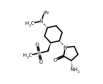 CC(C)N(C)[C@@H]1CC[C@H](N2CC[C@H](N)C2=O)[C@@H](CS(C)(=O)=O)C1